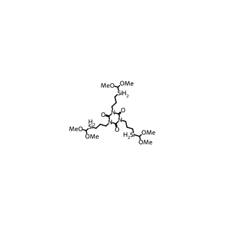 COC(OC)[SiH2]CCCn1c(=O)n(CCC[SiH2]C(OC)OC)c(=O)n(CCC[SiH2]C(OC)OC)c1=O